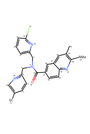 CCc1ccc(CN(Cc2cccc(F)n2)C(=O)c2ccc3nc(NC)c(C)cc3c2)nc1